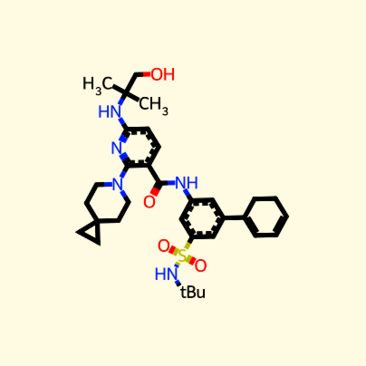 CC(C)(C)NS(=O)(=O)c1cc(NC(=O)c2ccc(NC(C)(C)CO)nc2N2CCC3(CC2)CC3)cc(C2=CC=CCC2)c1